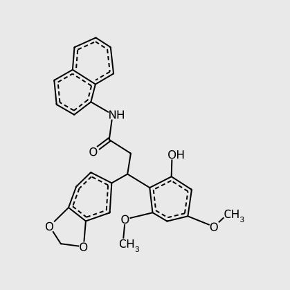 COc1cc(O)c(C(CC(=O)Nc2cccc3ccccc23)c2ccc3c(c2)OCO3)c(OC)c1